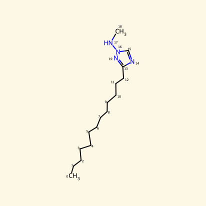 CCCCCCCCCCCCCc1ncn(NC)n1